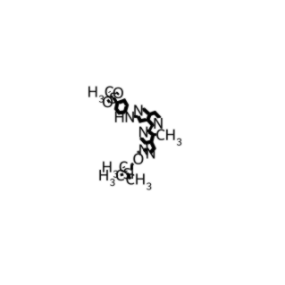 Cc1c(-c2nccc3cnc(Nc4ccc(S(C)(=O)=O)cc4)cc23)ncc2c1cnn2COCC[Si](C)(C)C